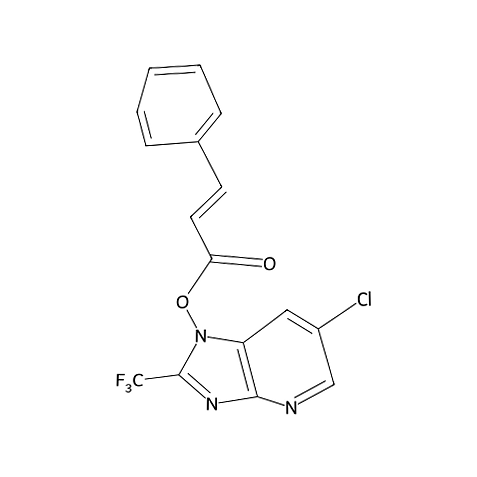 O=C(C=Cc1ccccc1)On1c(C(F)(F)F)nc2ncc(Cl)cc21